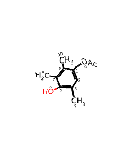 CC(=O)Oc1cc(C)c(O)c(C)c1C